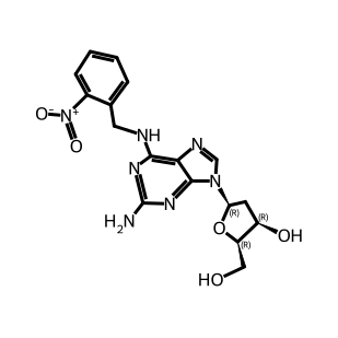 Nc1nc(NCc2ccccc2[N+](=O)[O-])c2ncn([C@H]3C[C@@H](O)[C@@H](CO)O3)c2n1